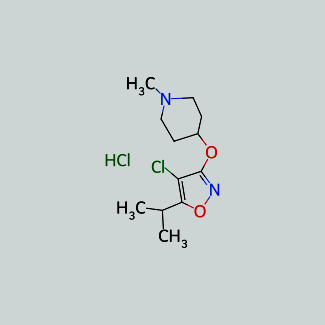 CC(C)c1onc(OC2CCN(C)CC2)c1Cl.Cl